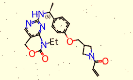 C=CC(=O)N1CC(COc2ccc([C@H](C)Nc3ncc4c(n3)N(CC)C(=O)OC4)cc2)C1